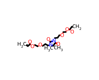 C=CC(=O)OCCOCCCN1C(=O)N(CCCOCCOC(=O)C=C)C(C)(C)C1=O